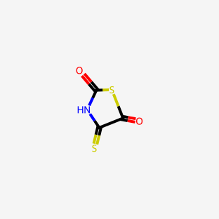 O=C1NC(=S)C(=O)S1